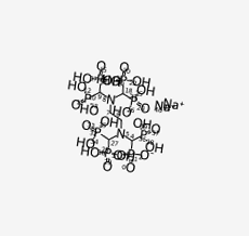 O=P([O-])([O-])C(N(CCN(C(P(=O)(O)O)P(=O)(O)O)C(P(=O)(O)O)P(=O)(O)O)C(P(=O)(O)O)P(=O)(O)O)P(=O)(O)O.[Na+].[Na+]